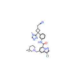 C[C@H]1CCCN(Cc2cc(C(=O)Nc3cccc(C4(c5nncn5C)CC(CC#N)C4)c3)n3ncc(Cl)c3c2)C1